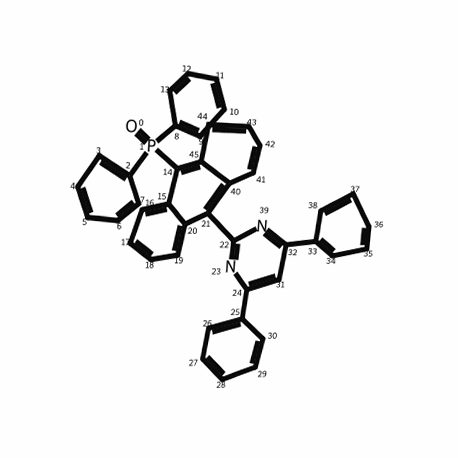 O=P(c1ccccc1)(c1ccccc1)c1c2ccccc2c(-c2nc(-c3ccccc3)cc(-c3ccccc3)n2)c2ccccc12